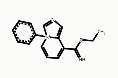 CCOC(=N)C1=CC=C[N+]2(c3ccccc3)C=NC=C12